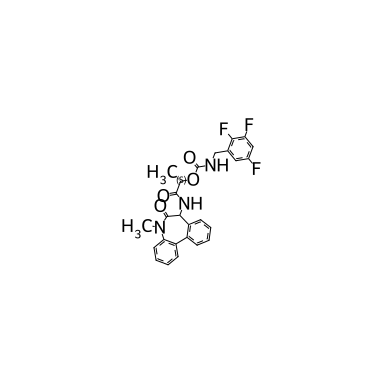 C[C@H](OC(=O)NCc1cc(F)cc(F)c1F)C(=O)NC1C(=O)N(C)c2ccccc2-c2ccccc21